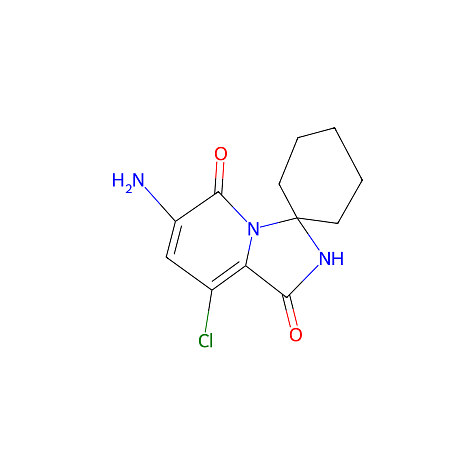 Nc1cc(Cl)c2n(c1=O)C1(CCCCC1)NC2=O